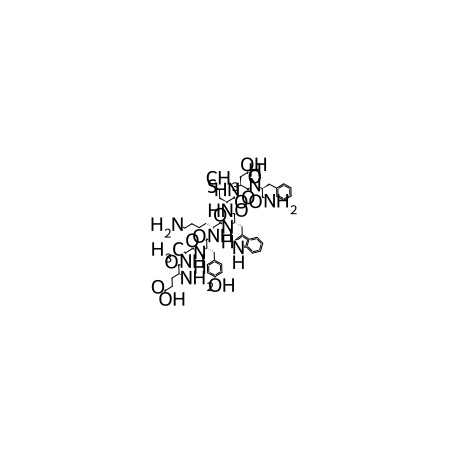 CSCC[C@H](NC(=O)[C@H](Cc1c[nH]c2ccccc12)NC(=O)[C@@H](CCCCN)NC(=O)[C@H](Cc1ccc(O)cc1)NC(=O)[C@H](C)NC(=O)[C@H](N)CCC(=O)O)C(=O)N[C@@H](CC(=O)O)C(=O)N[C@@H](Cc1ccccc1)C(N)=O